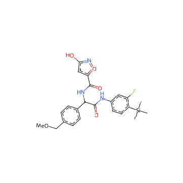 COCc1ccc(C(NC(=O)c2cc(O)no2)C(=O)Nc2ccc([Si](C)(C)C)c(F)c2)cc1